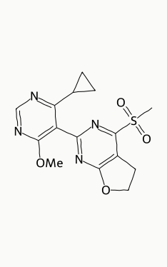 COc1ncnc(C2CC2)c1-c1nc2c(c(S(C)(=O)=O)n1)CCO2